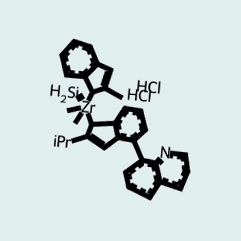 CC1=Cc2ccccc2[CH]1[Zr]([CH3])([CH3])(=[SiH2])[CH]1C(C(C)C)=Cc2c(-c3cccc4cccnc34)cccc21.Cl.Cl